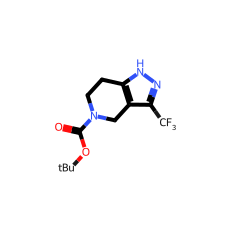 CC(C)(C)OC(=O)N1CCc2[nH]nc(C(F)(F)F)c2C1